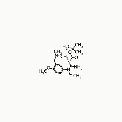 CCN(C(N)=NC(=O)OC(C)(C)C)c1ccc(OC)c(CN(C)C)c1